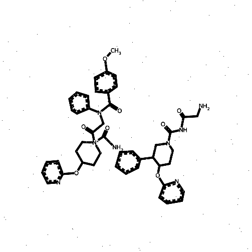 COc1ccc(C(=O)N(CC(=O)[N+]2(C(N)=O)CCC(Oc3ccccn3)CC2)c2ccccc2)cc1.NCC(=O)NC(=O)N1CCC(Oc2ccccn2)C(c2ccccc2)C1